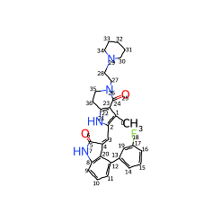 Cc1c(C=C2C(=O)Nc3cccc(-c4cccc(F)c4)c32)[nH]c2c1C(=O)N(CCN1CCCCC1)CC2